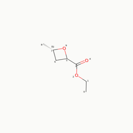 CCOC(=O)C1C[C@H](C)O1